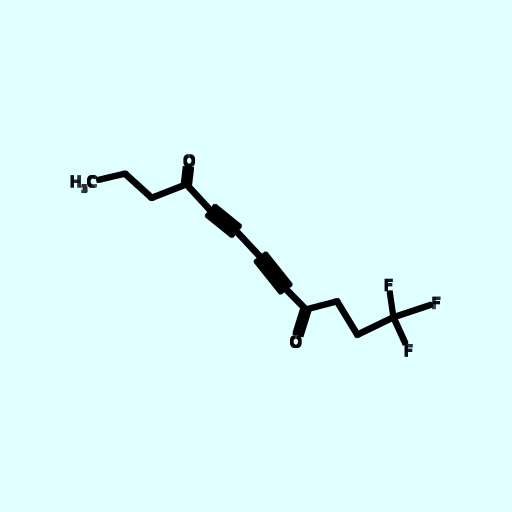 CCCC(=O)C#CC#CC(=O)CCC(F)(F)F